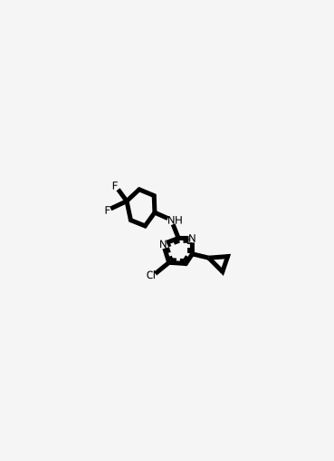 FC1(F)CCC(Nc2nc(Cl)cc(C3CC3)n2)CC1